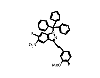 COc1cc(C=Cc2nn(C(c3ccccc3)(c3ccccc3)c3ccccc3)c3cc(F)c([N+](=O)[O-])cc23)ccc1F